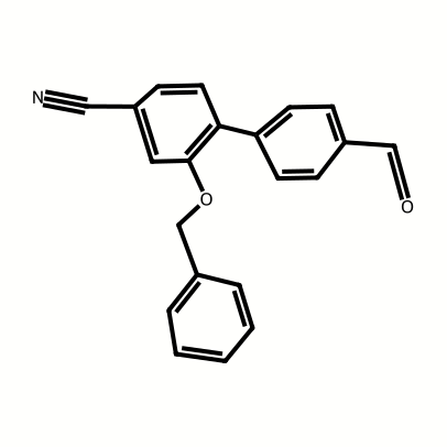 N#Cc1ccc(-c2ccc(C=O)cc2)c(OCc2ccccc2)c1